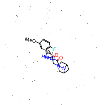 COc1ccc(F)c(NC(=O)CN2CC3CC(C2)N3CC(=O)NC(C)(C)C)c1